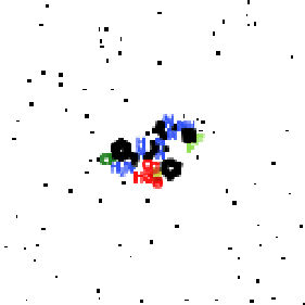 Cc1cnc(NC2CC(F)(F)C2)nc1-n1cnc(C(=O)N[C@H](CN)c2cccc(Cl)c2)c1.O=S(=O)(O)c1ccccc1